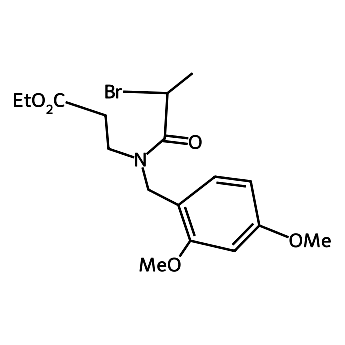 CCOC(=O)CCN(Cc1ccc(OC)cc1OC)C(=O)C(C)Br